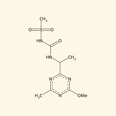 COc1nc(C)nc(C(C)NC(=O)NS(C)(=O)=O)n1